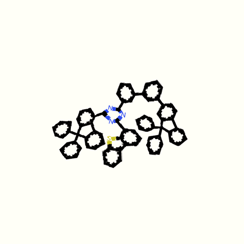 c1ccc(C2(c3ccccc3)c3ccccc3-c3ccc(-c4cccc(-c5cccc(-c6nc(-c7cccc8c7-c7ccccc7C8(c7ccccc7)c7ccccc7)nc(-c7cccc8c7sc7ccccc78)n6)c5)c4)cc32)cc1